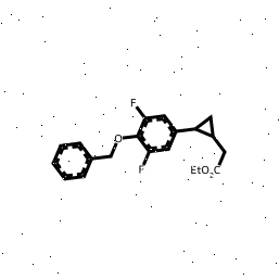 CCOC(=O)CC1CC1c1cc(F)c(OCc2ccccc2)c(F)c1